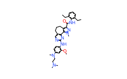 CCc1cccc(CC)c1NC(=O)c1nn(C)c2c1CCCc1cnc(Nc3ccc(N(C)CCN(C)C)cc3OC)nc1-2